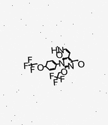 CN/C=C\c1c(C=O)nc(OCC(F)(F)F)n(C2=CCC(OCC(F)(F)F)C=C2)c1=O